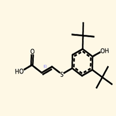 CC(C)(C)c1cc(S/C=C/C(=O)O)cc(C(C)(C)C)c1O